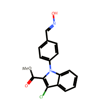 COC(=O)c1c(Cl)c2ccccc2n1-c1ccc(C=NO)cc1